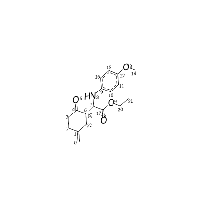 C=C1CCC(=O)[C@H](C(Nc2ccc(OC)cc2)C(=O)OCC)C1